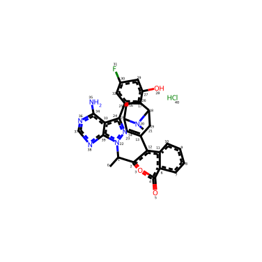 CC(c1oc(=O)c2ccccc2c1C1=CC2CCC(C1)N2C)n1nc(-c2cc(O)cc(F)c2)c2c(N)ncnc21.Cl